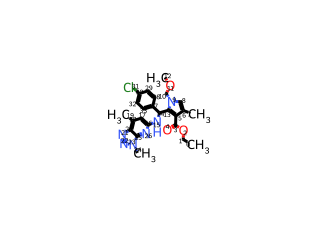 CCOC(=O)c1c(C)cn(COC)c1C(Nc1cc(C)c2nnn(C)c2n1)c1ccc(Cl)cc1